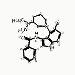 NN(C(=O)O)[C@H]1CCCN(c2c(Br)cnc3[nH]cc(NC(=O)c4cccnc4)c23)C1